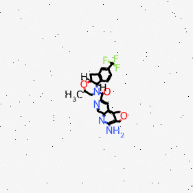 C[C@H]1CN(C(=O)c2cc3c4c(c(N)nc3cn2)COC4)[C@H]2c3ccc(C(F)(F)F)cc3C[C@H]2O1